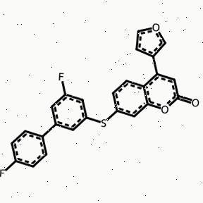 O=c1cc(-c2ccoc2)c2ccc(Sc3cc(F)cc(-c4ccc(F)cc4)c3)cc2o1